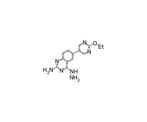 CCOc1ncc(-c2ccc3nc(N)nc(NN)c3c2)cn1